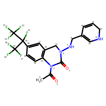 CC(=O)N1C(=O)N(NCC2=CNCC=C2)Cc2cc(C(F)(C(F)(F)F)C(F)(F)F)ccc21